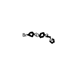 Brc1ccc(COc2ccc(OCCN3CCCC3)cc2)cc1